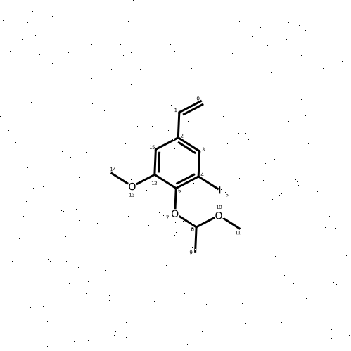 C=Cc1cc(I)c(OC(C)OC)c(OC)c1